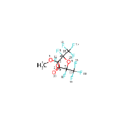 COC(=O)C(F)(OC(F)(C(=O)F)C(F)(F)F)C(F)(F)F